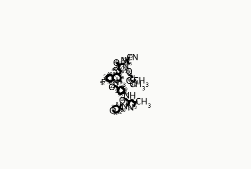 Cc1cnc(N2CC3(CCOCC3)C2)c(C(=O)Nc2ccc(C(=O)N3CCc4cc(C(=O)c5nc(C#N)cn5COCC[Si](C)(C)C)sc4-c4ccc(F)cc43)cc2)c1